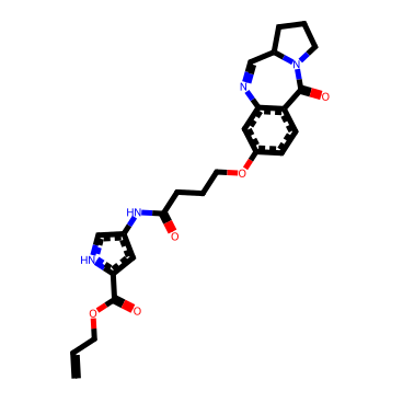 C=CCOC(=O)c1cc(NC(=O)CCCOc2ccc3c(c2)N=CC2CCCN2C3=O)c[nH]1